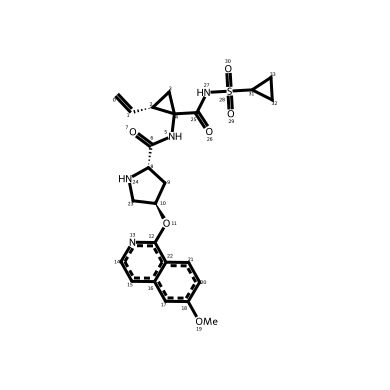 C=C[C@@H]1CC1(NC(=O)[C@@H]1C[C@@H](Oc2nccc3cc(OC)ccc23)CN1)C(=O)NS(=O)(=O)C1CC1